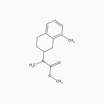 COC(=O)N(C)C1CCc2cccc(C)c2C1